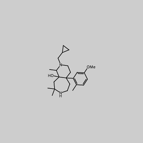 COc1ccc(C)c(C23CCNC(C)(C)CC2(O)C(C)N(CC2CC2)CC3)c1